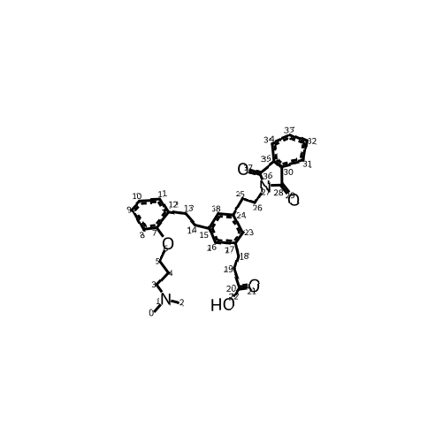 CN(C)CCCOc1ccccc1CCc1cc(CCC(=O)O)cc(CCN2C(=O)c3ccccc3C2=O)c1